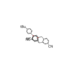 CC(C)(C)c1ccc(-c2cc3c(cc2C#N)C2c4cc(C#N)ccc4C3c3ccc(C#N)cc32)cc1